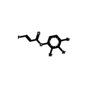 O=C(C=CF)Oc1ccc(Br)c(Br)c1Br